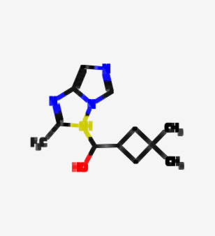 CC1(C)CC(C(O)[SH]2C(C(F)(F)F)=Nc3cncn32)C1